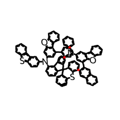 c1ccc2c(c#1)Sc1ccccc1C21c2cc(N(c3ccccc3)c3cc(-c4ccc5ccccc5c4)c4oc5ccccc5c4c3)ccc2-c2c(N(c3cc(-c4ccccc4)c4c(c3)oc3ccccc34)c3ccc4sc5ccccc5c4c3)cccc21